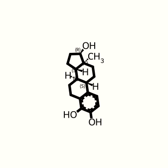 C[C@]12CC[C@@H]3c4ccc(O)c(O)c4CC[C@H]3[C@@H]1CC[C@H]2O